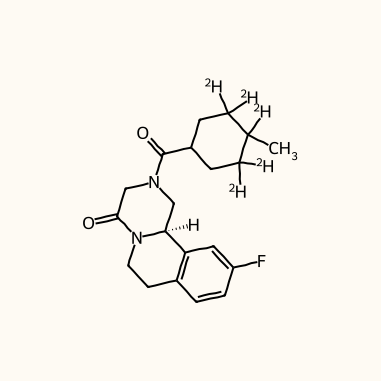 [2H]C1([2H])CC(C(=O)N2CC(=O)N3CCc4ccc(F)cc4[C@@H]3C2)CC([2H])([2H])C1([2H])C